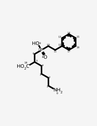 NCCCCC(CP(=O)(O)CCc1ccccc1)C(=O)O